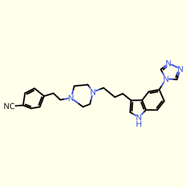 N#Cc1ccc(CCN2CCN(CCCc3c[nH]c4ccc(-n5cnnc5)cc34)CC2)cc1